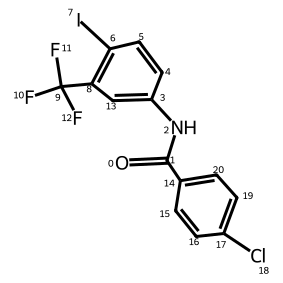 O=C(Nc1ccc(I)c(C(F)(F)F)c1)c1ccc(Cl)cc1